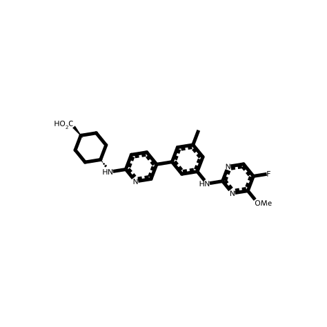 COc1nc(Nc2cc(C)cc(-c3ccc(N[C@H]4CC[C@H](C(=O)O)CC4)nc3)c2)ncc1F